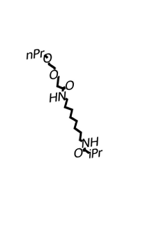 CCCOCCOCCC(=O)NCCCCCCCCNC(=O)C(C)C